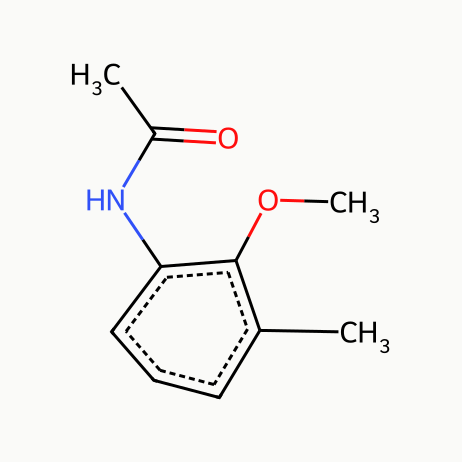 COc1c(C)cccc1NC(C)=O